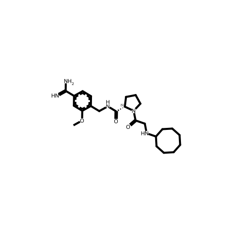 COc1cc(C(=N)N)ccc1CNC(=O)[C@@H]1CCCN1C(=O)CNC1CCCCCCC1